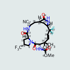 COC(=O)N[C@@H]1C(=O)N2C[C@H](C(F)(F)F)C[C@H]2C(=O)N[C@H](C#N)C[C@@H]2C[C@H](NC2=O)C(F)(F)/C=C/C1(C)C